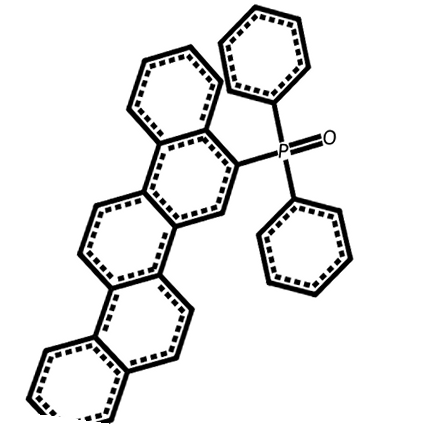 O=P(c1ccccc1)(c1ccccc1)c1cc2c(ccc3c4ccccc4ccc32)c2ccccc12